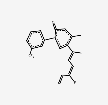 C=C/C(F)=C\C=C(/C)c1cn(-c2cccc(C(F)(F)F)c2)c(=O)cc1C